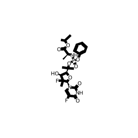 CC(C)OC(=O)[C@H](C)NP(=O)(Oc1ccccc1)OC(C)(C)[C@H]1O[C@@H](n2cc(F)c(=O)[nH]c2=O)C(C)(F)[C@H]1O